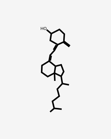 C=C1CCC(O)C/C1=C\C=C1\CCCC2(C)C1CCC2C(C)CCCC(C)C